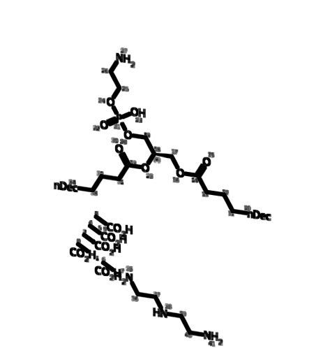 CC(=O)O.CC(=O)O.CC(=O)O.CC(=O)O.CC(=O)O.CCCCCCCCCCCCCC(=O)OC[C@H](COP(=O)(O)OCCN)OC(=O)CCCCCCCCCCCCC.NCCNCCN